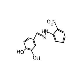 O=[N+]([O-])c1ccccc1N/N=C/c1ccc(O)c(O)c1